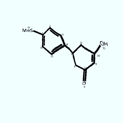 CSc1ccc(C2CC(=O)C=C(O)C2)cc1